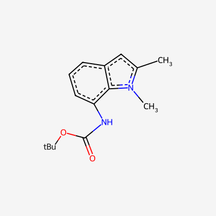 Cc1cc2cccc(NC(=O)OC(C)(C)C)c2n1C